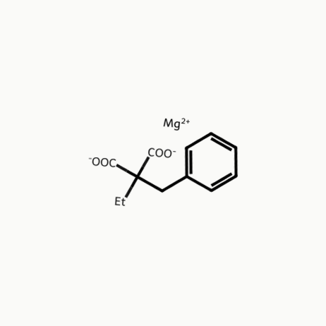 CCC(Cc1ccccc1)(C(=O)[O-])C(=O)[O-].[Mg+2]